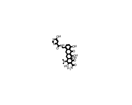 CN(C)C1C(O)=C(C(N)=O)C(=O)C2(O)C(O)=C3C(=O)c4c(O)ccc(CNC(=O)c5cc(O)ncn5)c4CC3CC12